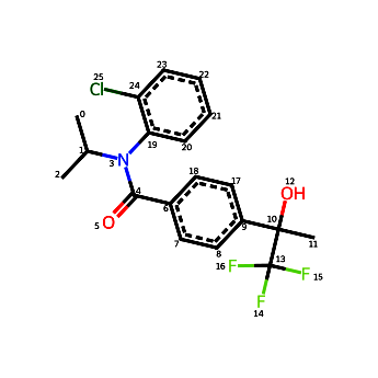 CC(C)N(C(=O)c1ccc(C(C)(O)C(F)(F)F)cc1)c1ccccc1Cl